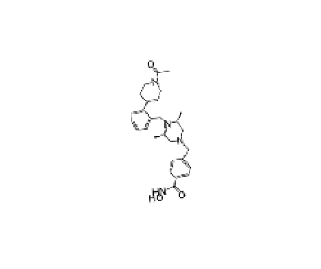 CC(=O)N1CC=C(c2ccccc2CN2[C@H](C)CN(Cc3ccc(C(=O)NO)cc3)C[C@@H]2C)CC1